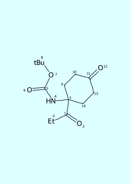 CCC(=O)C1(NC(=O)OC(C)(C)C)CCC(=O)CC1